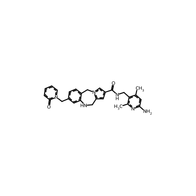 Cc1cc(N)nc(C)c1CNC(=O)c1cc2n(c1)Cc1ccc(Cn3ccccc3=O)cc1NC2